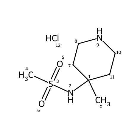 CC1(NS(C)(=O)=O)CCNCC1.Cl